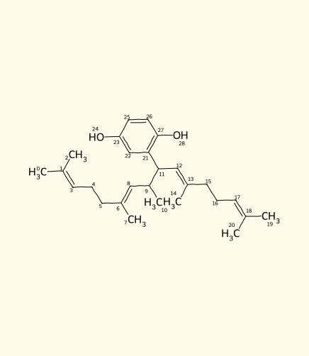 CC(C)=CCC/C(C)=C/C(C)C(/C=C(\C)CCC=C(C)C)c1cc(O)ccc1O